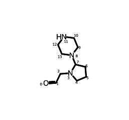 O=CCN1CCCC1N1CCNCC1